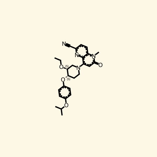 CCO[C@H]1CN(c2cc(=O)n(C)c3ccc(C#N)nc23)CC[C@@H]1Oc1ccc(OC(C)C)cc1